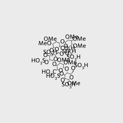 CO[C@H]1O[C@H](COS(=O)(=O)O)[C@@H](O[C@@H]2O[C@@H](C(=O)O)[C@@H](O[C@H]3O[C@H](COS(=O)(=O)O)[C@@H](O[C@@H]4O[C@H](C(=O)O)[C@@H](O[C@H]5O[C@H](COS(=O)(=O)O)[C@@H](OC)[C@H](OC)[C@H]5OC)[C@H](OC)[C@H]4OC)[C@H](OS(=O)(=O)O)[C@H]3OS(=O)(=O)O)[C@H](OC)[C@H]2OC)[C@H](OS(=O)(=O)O)[C@H]1OS(=O)(=O)O